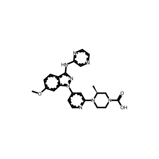 COc1ccc2c(Nc3cnccn3)nn(-c3ccnc(N4CCN(C(=O)O)C[C@@H]4C)c3)c2c1